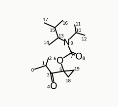 CC(C)C(=O)C1(OC(=O)N(C(C)C)C(C)C(C)C)CC1